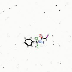 O=C(CI)NC(Cl)(Cl)c1ccccc1